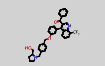 O=C(c1ccccc1)c1cnc2c(C(F)(F)F)cccc2c1-c1cccc(OCc2ccc(CN3CCCC3CO)cc2)c1